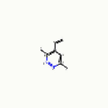 C=Cc1cc(C)nnc1C